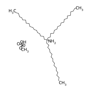 CCCCCCCCCCCCCCCCCCC(N)(CCCCCCCCCCCCCCCCCC)CCCCCCCCCCCCCCCCCC.COS(=O)(=O)O